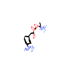 CC(N)OCOC(=O)Cc1ccc(N)cc1